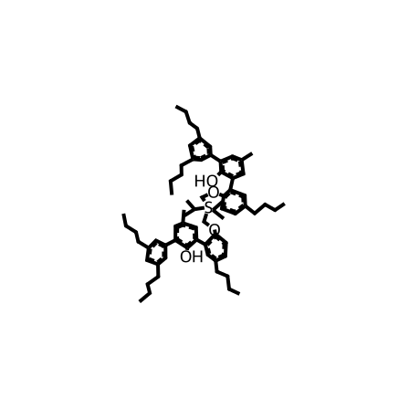 CCCCc1cc(CCCC)cc(-c2cc(C)cc(-c3cc(CCCC)ccc3OCS(COc3ccc(CCCC)cc3-c3cc(C)cc(-c4cc(CCCC)cc(CCCC)c4)c3O)(C(C)C)C(C)C)c2O)c1